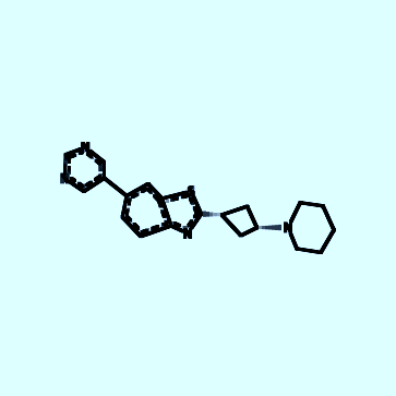 c1ncc(-c2ccc3nc([C@H]4C[C@@H](N5CCCCC5)C4)sc3c2)cn1